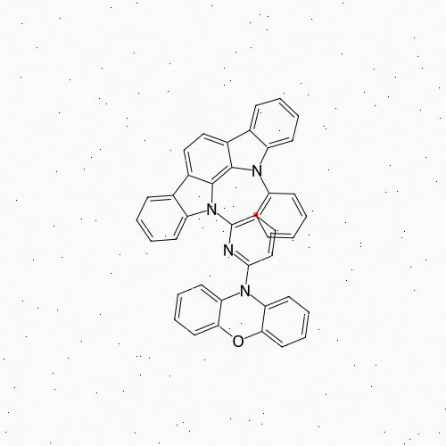 c1ccc(-n2c3ccccc3c3ccc4c5ccccc5n(-c5cccc(N6c7ccccc7Oc7ccccc76)n5)c4c32)cc1